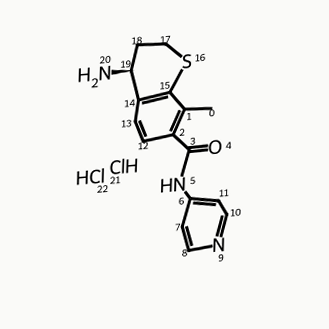 Cc1c(C(=O)Nc2ccncc2)ccc2c1SCC[C@@H]2N.Cl.Cl